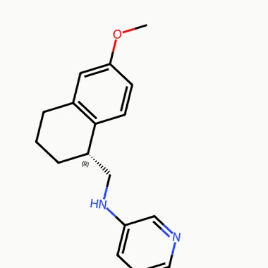 COc1ccc2c(c1)CCC[C@H]2CNc1cccnc1